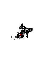 COc1ccc(CN(C(=O)[C@H](Cc2c(C)cc(C(N)=O)cc2C)NC(=O)OC(C)(C)C)[C@@H](C)c2nc(-c3ccccc3C#N)c[nH]2)cc1OC